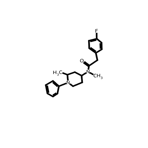 CC1CC(N(C)C(=O)Cc2ccc(F)cc2)CCN1c1ccccc1